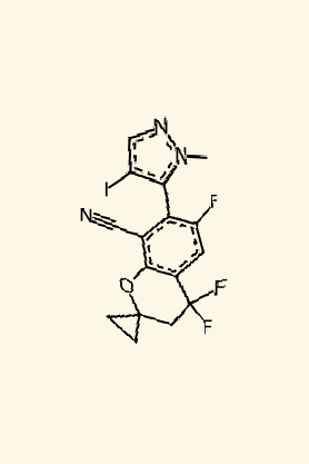 Cn1ncc(I)c1-c1c(F)cc2c(c1C#N)OC1(CC1)CC2(F)F